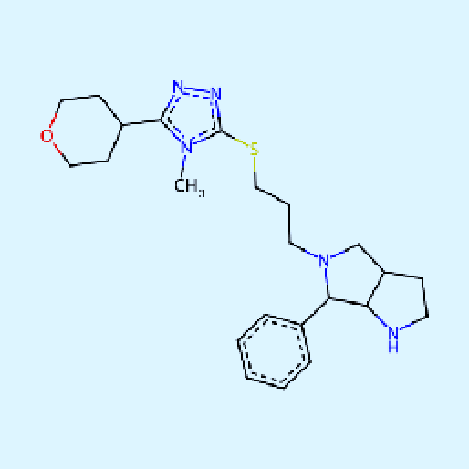 Cn1c(SCCCN2CC3CCNC3C2c2ccccc2)nnc1C1CCOCC1